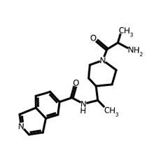 CC(N)C(=O)N1CCC(C(C)NC(=O)c2ccc3cnccc3c2)CC1